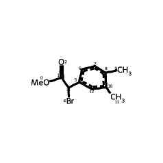 COC(=O)C(Br)c1ccc(C)c(C)c1